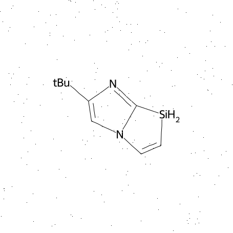 CC(C)(C)c1cn2c(n1)[SiH2]C=C2